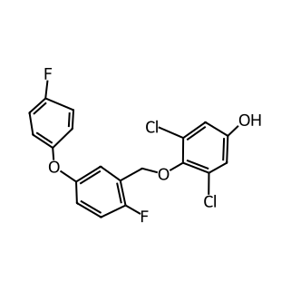 Oc1cc(Cl)c(OCc2cc(Oc3ccc(F)cc3)ccc2F)c(Cl)c1